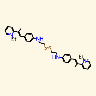 CC[n+]1ccccc1/C(C)=C/c1ccc(NCCSSCCNc2ccc(/C=C(\C)c3cccc[n+]3CC)cc2)cc1